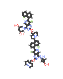 O[C@@H]1C[C@H](O)CN(c2nc(OCC34CCCN3C(c3ccc(F)c5c(-c6ncc7c(NC89CC(O)(C8)C9)nc(OCC89CCCN8CCC9)nc7c6F)cccc35)CC4)nc3c(F)c(-c4cccc5cccc(F)c45)ncc23)C1